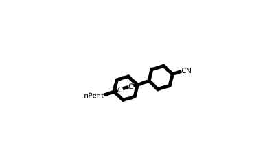 CCCCCC12CCC(C3CCC(C#N)CC3)(CC1)CC2